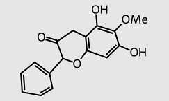 COc1c(O)cc2c(c1O)CC(=O)C(c1ccccc1)O2